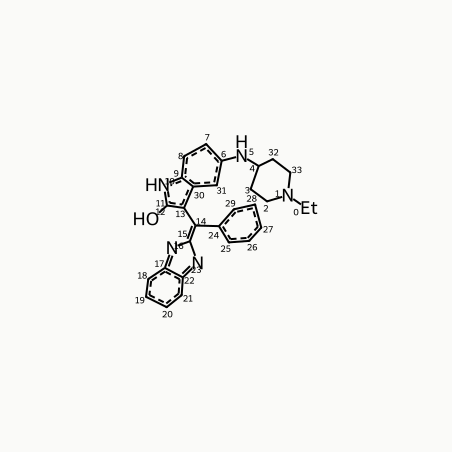 CCN1CCC(Nc2ccc3[nH]c(O)c(C(=C4N=c5ccccc5=N4)c4ccccc4)c3c2)CC1